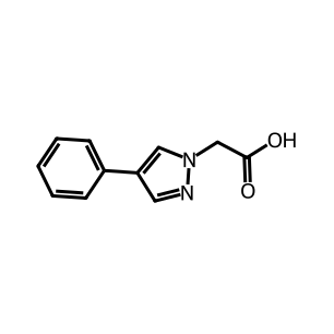 O=C(O)Cn1cc(-c2ccccc2)cn1